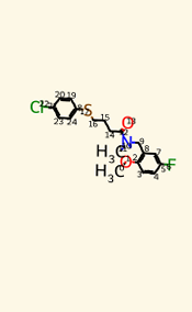 COc1ccc(F)cc1CN(C)C(=O)CCCSc1ccc(Cl)cc1